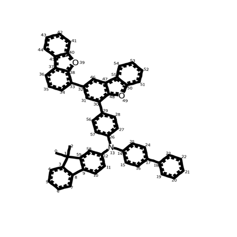 CC1(C)c2ccccc2-c2ccc(N(c3ccc(-c4ccccc4)cc3)c3ccc(-c4cc(-c5cccc6c5oc5ccccc56)cc5c4oc4ccccc45)cc3)cc21